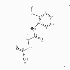 CCc1ccccc1NC(=O)CCC(=O)O